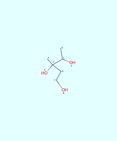 CC(O)C(C)(O)CCO